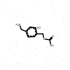 Cl.NCc1ccc(COC(=O)O)cc1